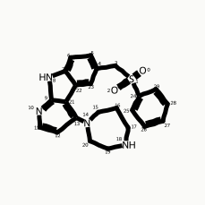 O=S(=O)(Cc1ccc2[nH]c3nccc(N4CCCNCC4)c3c2c1)c1ccccc1